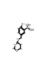 OB(O)c1cc(CSC2CCOCC2)ccc1F